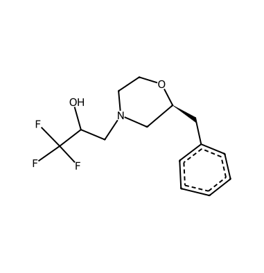 OC(CN1CCO[C@@H](Cc2ccccc2)C1)C(F)(F)F